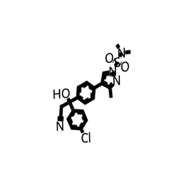 Cc1nn(S(=O)(=O)N(C)C)cc1-c1ccc(C(O)(CC#N)c2ccc(Cl)cc2)cc1